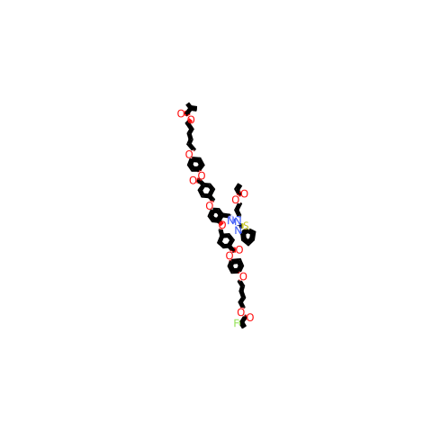 C=CC(=O)OCCCN(/N=C/c1cc(OCC2CCC(C(=O)Oc3ccc(OCCCCCCOC(=O)C(=C)C)cc3)CC2)ccc1OCC1CCC(C(=O)Oc2ccc(OCCCCCCOC(=O)C(=C)F)cc2)CC1)c1nc2ccccc2s1